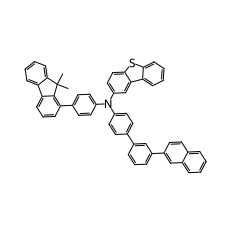 CC1(C)c2ccccc2-c2cccc(-c3ccc(N(c4ccc(-c5cccc(-c6ccc7ccccc7c6)c5)cc4)c4ccc5sc6ccccc6c5c4)cc3)c21